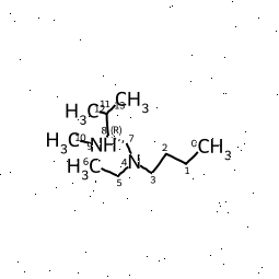 CCCCN(CC)C[C@H](NC)C(C)C